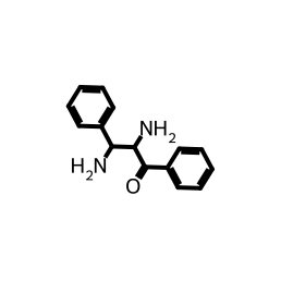 NC(C(=O)c1ccccc1)C(N)c1ccccc1